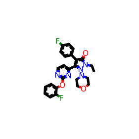 CCn1c(=O)c(-c2ccc(F)cc2)c(-c2ccnc(Oc3ccccc3F)n2)n1N1CCOCC1